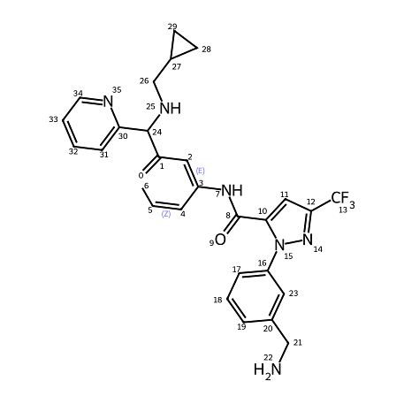 C=C(/C=C(\C=C/C)NC(=O)c1cc(C(F)(F)F)nn1-c1cccc(CN)c1)C(NCC1CC1)c1ccccn1